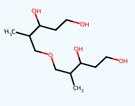 CC(COCC(C)C(O)CCO)C(O)CCO